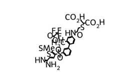 CSc1sc(C(=N)N)cc1S(=O)(=O)c1cccc(-c2ccc(NC(=O)CSC(CC(=O)O)C(=O)O)cc2C)c1.O=C(O)C(F)(F)F